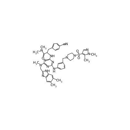 Cc1cc2nc(CN(C)c3nc(Nc4cccc(CN5CCN(S(=O)(=O)c6cnn(C)c6C)CC5)c4)nc(NC(Cc4ccc(C#N)cc4)C(=O)N(C)C)n3)[nH]c2cc1C